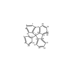 c1ccc(C2(c3ccccc3)c3ccccc3-c3ncccc32)cc1